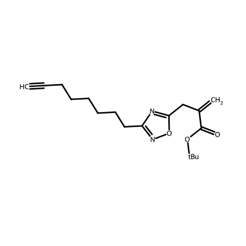 C#CCCCCCCc1noc(CC(=C)C(=O)OC(C)(C)C)n1